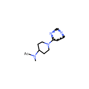 CC(=O)N(C)C1CCN(c2ccncn2)CC1